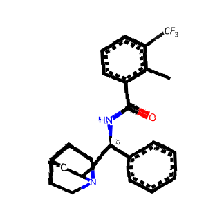 Cc1c(C(=O)N[C@@H](c2ccccc2)C2CC3CCN2CC3)cccc1C(F)(F)F